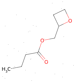 CCCC(=O)OCC1CCO1